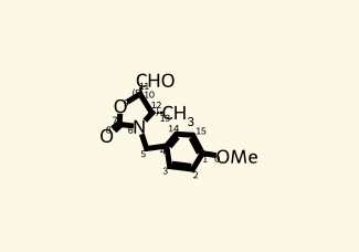 COc1ccc(CN2C(=O)O[C@H](C=O)[C@@H]2C)cc1